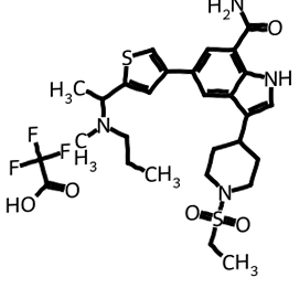 CCCN(C)C(C)c1cc(-c2cc(C(N)=O)c3[nH]cc(C4CCN(S(=O)(=O)CC)CC4)c3c2)cs1.O=C(O)C(F)(F)F